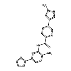 Cn1cc(-c2ccc(C(=O)Nc3nc(-c4ccco4)ccc3N)nc2)cn1